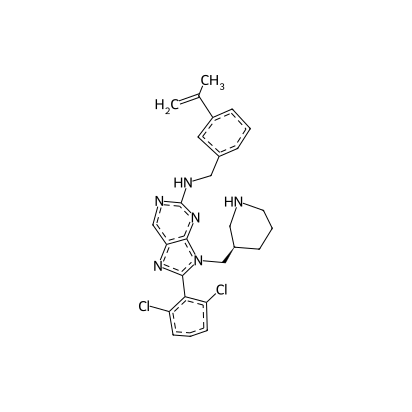 C=C(C)c1cccc(CNc2ncc3nc(-c4c(Cl)cccc4Cl)n(C[C@@H]4CCCNC4)c3n2)c1